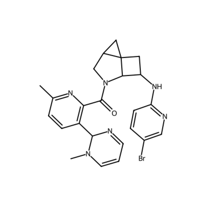 Cc1ccc(C2N=CC=CN2C)c(C(=O)N2CC3CC34CC(Nc3ccc(Br)cn3)C24)n1